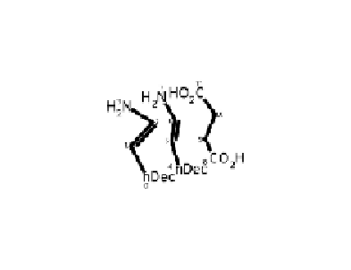 CCCCCCCCCCC=CN.CCCCCCCCCCC=CN.O=C(O)CCC(=O)O